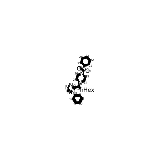 CCCCCCC(c1nnnn1-c1ccccc1)N1CCN(S(=O)(=O)C2CCCCC2)CC1